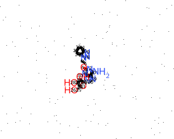 Nc1nc(OCCn2nnc3ccccc32)nc2c1ncn2[C@@H]1O[C@H](CO)[C@@H](O)[C@H]1O